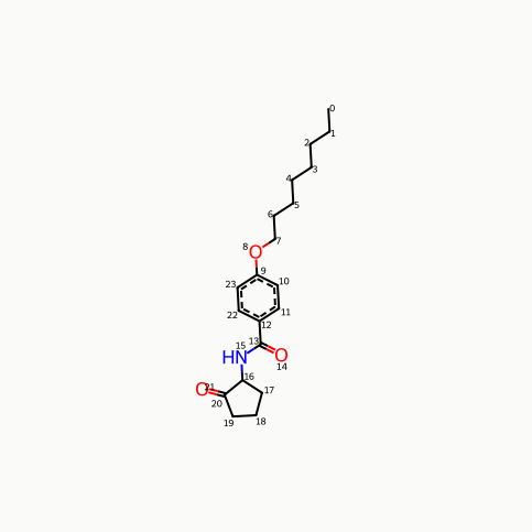 CCCCCCCCOc1ccc(C(=O)NC2CCCC2=O)cc1